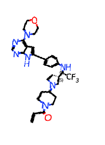 C=CC(=O)N1CCC(N2CC[C@H]([C@@H](Nc3ccc(-c4cc5c(N6CCOCC6)ncnc5[nH]4)cc3)C(F)(F)F)C2)CC1